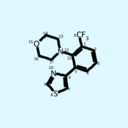 FC(F)(F)c1cccc(-c2cs[c]n2)c1N1CCOCC1